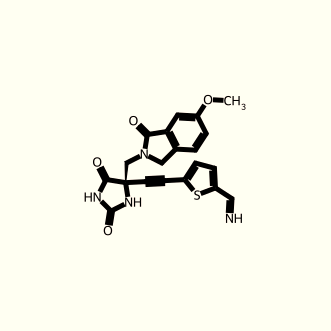 COc1ccc2c(c1)C(=O)N(C[C@@]1(C#Cc3ccc(C=N)s3)NC(=O)NC1=O)C2